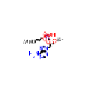 COCCCOP(=O)(O)CO[C@@H](COC(C)C)Cn1cnc2c(N)ncnc21